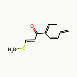 BS/C=C/C(=O)C(/C=C\C=C)=C/C